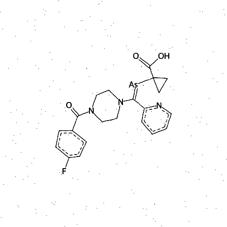 O=C(c1ccc(F)cc1)N1CCN(/C(=[As]/C2(C(=O)O)CC2)c2ccccn2)CC1